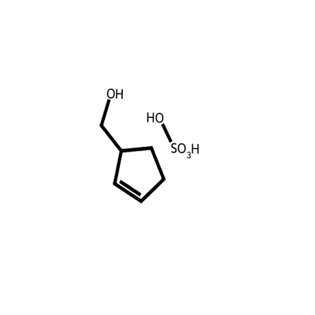 O=S(=O)(O)O.OCC1C=CCC1